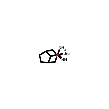 CC(C)(C)N1CC2CCC(C1)C2C(=N)N